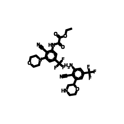 CCOC(=O)C(=O)Nc1cc(C(F)(F)F)cc(N2CCOCC2)c1C#N.N#Cc1c(N)cc(C(F)(F)F)cc1C1CNCCO1